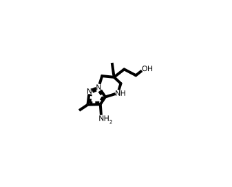 Cc1nn2c(c1N)NCC(C)(CCO)C2